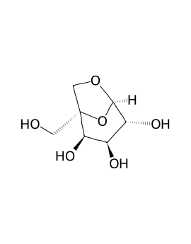 OC[C@]12CO[C@H](O1)[C@H](O)[C@@H](O)[C@H]2O